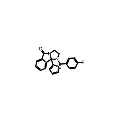 O=C(c1ccc(F)cc1)N1CCN2C(=O)c3ccccc3C12c1cccs1